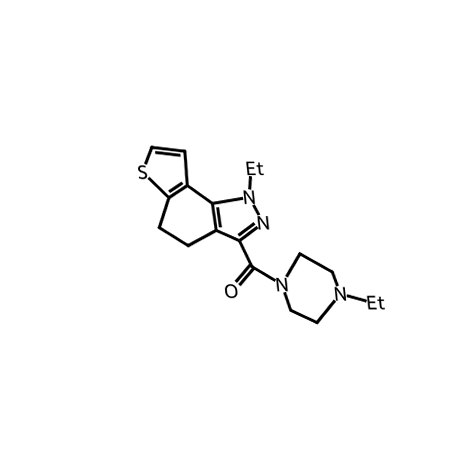 CCN1CCN(C(=O)c2nn(CC)c3c2CCc2sccc2-3)CC1